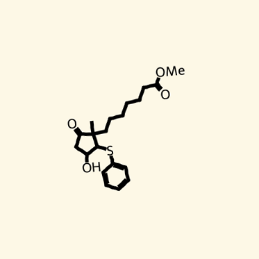 COC(=O)CCCCCCC1(C)C(=O)CC(O)C1Sc1ccccc1